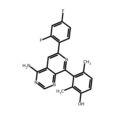 Cc1ccc(O)c(C)c1-c1nc(-c2ccc(F)cc2F)cc2c(N)ncnc12